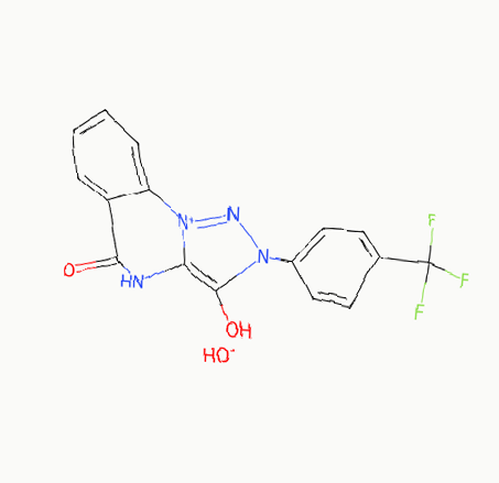 O=c1[nH]c2c(O)n(-c3ccc(C(F)(F)F)cc3)n[n+]2c2ccccc12.[OH-]